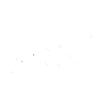 OC[C@H]1O[C@@H](n2cnc3c(NCc4c(O)ccc(Cl)c4O)ncnc32)[C@H](O)[C@@H]1O